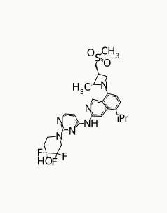 CC(C)c1ccc(N2C[C@H](CS(C)(=O)=O)[C@H]2C)c2cnc(Nc3ccnc(N4CC[C@](O)(F)C(F)(F)C4)n3)cc12